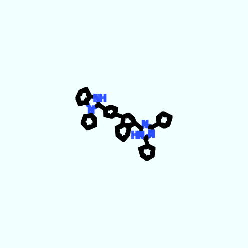 c1ccc(C2=NC(c3ccc(-c4ccc(C5Nc6ccccc6N5c5ccccc5)cc4)c4ccccc34)NC(c3ccccc3)=N2)cc1